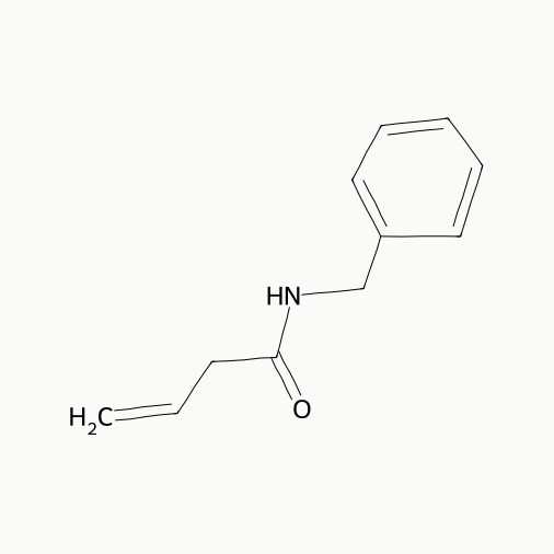 C=CCC(=O)NCc1ccccc1